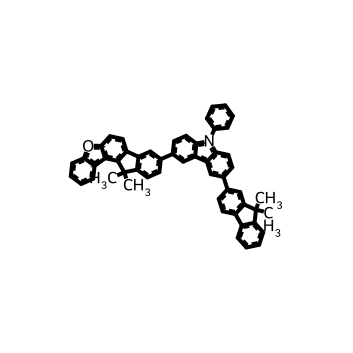 CC1(C)c2ccccc2-c2ccc(-c3ccc4c(c3)c3cc(-c5ccc6c(c5)-c5ccc7oc8ccccc8c7c5C6(C)C)ccc3n4-c3ccccc3)cc21